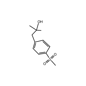 CC(C)(O)Cc1ccc(S(C)(=O)=O)cc1